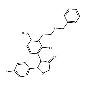 Cc1c(N2C(=O)CSC2c2ccc(F)cc2)ccc(C(=O)O)c1CCOCc1ccccc1